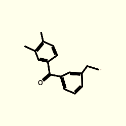 [CH2]Cc1cccc(C(=O)c2ccc(C)c(C)c2)c1